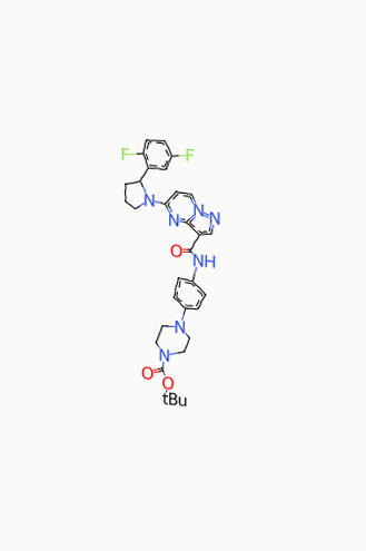 CC(C)(C)OC(=O)N1CCN(c2ccc(NC(=O)c3cnn4ccc(N5CCCC5c5cc(F)ccc5F)nc34)cc2)CC1